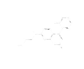 COCCN(C)c1ccc2c(-c3ccccc3C)cc(=O)oc2n1